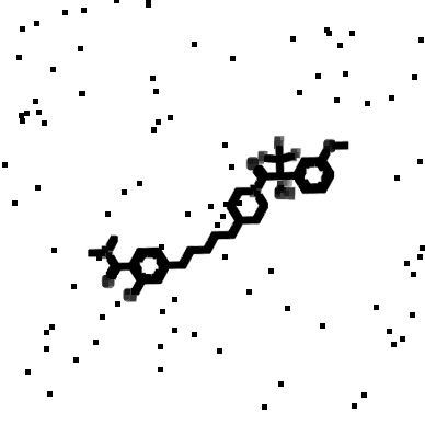 COc1cccc([C@@](O)(C(=O)N2CCC(CCCCCc3ccc(C(=O)N(C)C)c(Cl)c3)CC2)C(F)(F)F)c1